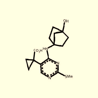 CSc1ncc(C2(C(=O)O)CC2)c(NC23CCC(O)(CC2)C3)n1